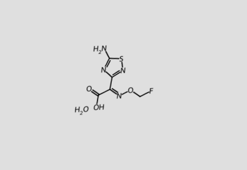 Nc1nc(/C(=N\OCF)C(=O)O)ns1.O